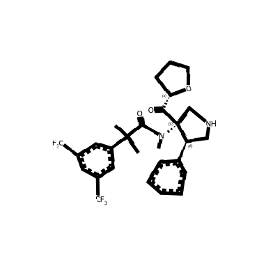 CN(C(=O)C(C)(C)c1cc(C(F)(F)F)cc(C(F)(F)F)c1)[C@]1(C(=O)[C@@H]2CCCO2)CNC[C@H]1c1ccccc1